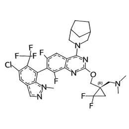 CN(C)C[C@@]1(COc2nc(N3CC4CCC(C4)C3)c3cc(F)c(-c4c(C(F)(F)F)c(Cl)cc5cnn(C)c45)c(F)c3n2)CC1(F)F